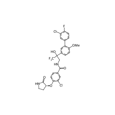 COc1ccc(C(O)(CNC(=O)c2ccc(O[C@H]3CCNC3=O)c(Cl)c2)C(F)(F)F)cc1-c1ccc(F)c(Cl)c1